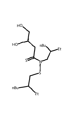 CCCCC(CC)CSN(CC(CC)CCCC)C(=S)CC(O)CO